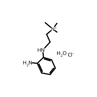 C[N+](C)(C)CCNc1ccccc1N.O.[Cl-]